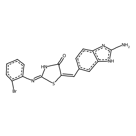 Nc1nc2ccc(/C=C3/S/C(=N/c4ccccc4Br)NC3=O)cc2[nH]1